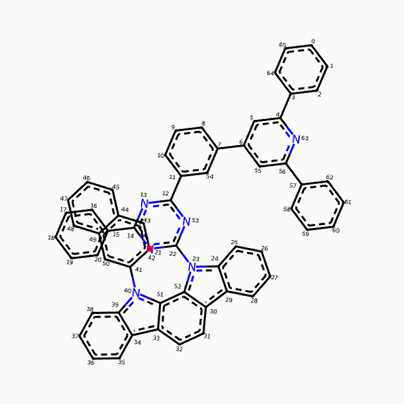 c1ccc(-c2cc(-c3cccc(-c4nc(-c5ccccc5)nc(-n5c6ccccc6c6ccc7c8ccccc8n(-c8ccc9ccccc9c8)c7c65)n4)c3)cc(-c3ccccc3)n2)cc1